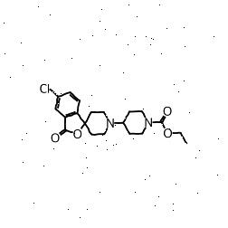 CCOC(=O)N1CCC(N2CCC3(CC2)OC(=O)c2cc(Cl)ccc23)CC1